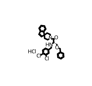 Cl.O=C([C@H](COCc1ccccc1)NCc1ccc(Cl)c(Cl)c1)N1CCC2(C=Cc3ccccc32)CC1